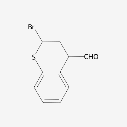 O=CC1CC(Br)Sc2ccccc21